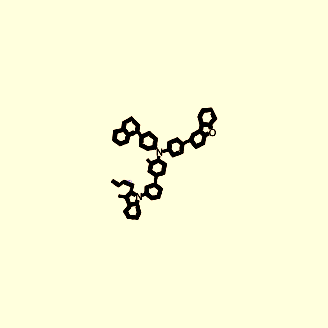 C=C/C=C\c1c(C)c2ccccc2n1-c1cccc(-c2ccc(N(c3ccc(-c4ccc5oc6ccccc6c5c4)cc3)c3ccc(-c4cccc5ccccc45)cc3)c(C)c2)c1